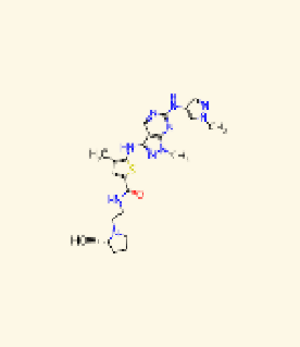 C#C[C@H]1CCCN1CCNC(=O)c1cc(C)c(Nc2nn(C)c3nc(Nc4cnn(C)c4)ncc23)s1